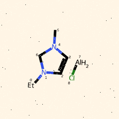 CCN1C=CN(C)C1.[AlH2][Cl]